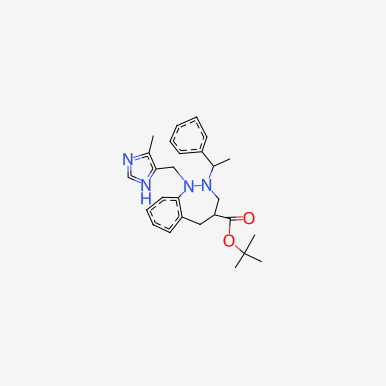 Cc1nc[nH]c1CN1c2ccccc2CC(C(=O)OC(C)(C)C)CN1C(C)c1ccccc1